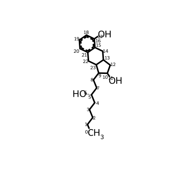 CCCCC[C@H](O)CCC1C(O)CC2Cc3c(O)cccc3CC21